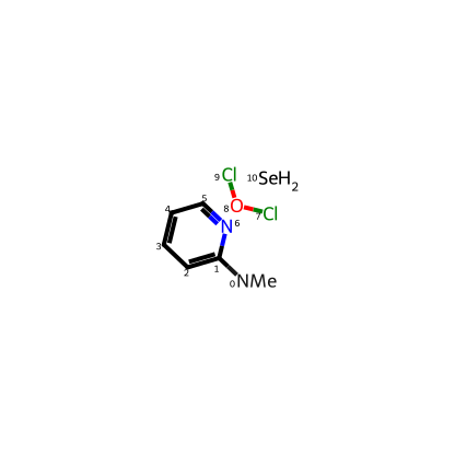 CNc1ccccn1.ClOCl.[SeH2]